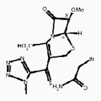 CO[C@@H]1C(=O)N2C(C(=O)O)=C(C(=S)c3nnnn3C)CS[C@@H]12.NC(=O)CBr